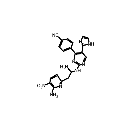 N#Cc1ccc(-c2nc(NC(N)Cc3ccc([N+](=O)[O-])c(N)n3)ncc2-c2ncc[nH]2)cc1